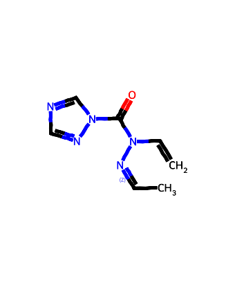 C=CN(/N=C\C)C(=O)n1cncn1